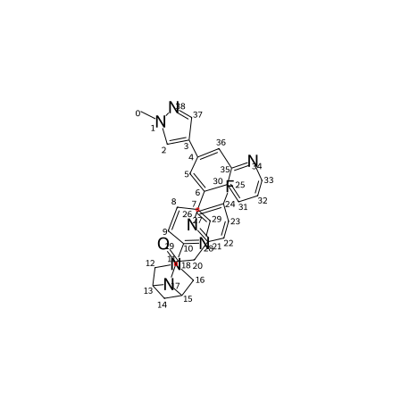 Cn1cc(-c2cc(-c3ccc(N4CC5CC(C4)N5C(=O)Cc4ccc(F)cn4)nc3)c3cccnc3c2)cn1